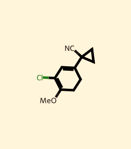 COC1=C(Cl)C=C(C2(C#N)CC2)CC1